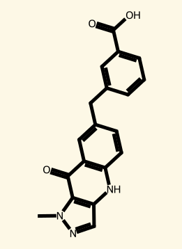 Cn1ncc2[nH]c3ccc(Cc4cccc(C(=O)O)c4)cc3c(=O)c21